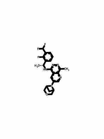 Cc1nnc(N[C@H](C)c2cccc(C(F)F)c2F)c2cc(N3C4COCC3C4)cnc12